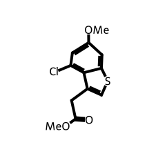 COC(=O)Cc1csc2cc(OC)cc(Cl)c12